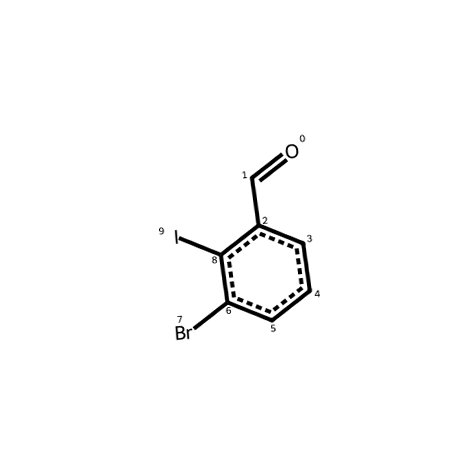 O=Cc1cccc(Br)c1I